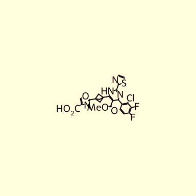 COC(=O)C1=C(C23CC(c4nc(C(=O)O)co4)(C2)C3)NC(c2nccs2)=NC1c1ccc(F)c(F)c1Cl